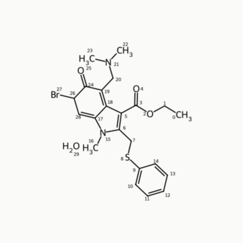 CCOC(=O)c1c(CSc2ccccc2)n(C)c2c1=C(CN(C)C)C(=O)C(Br)C=2.O